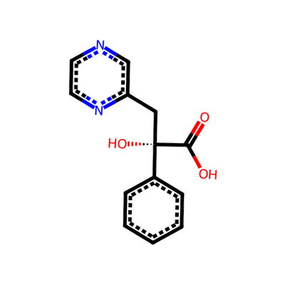 O=C(O)[C@](O)(Cc1cnccn1)c1ccccc1